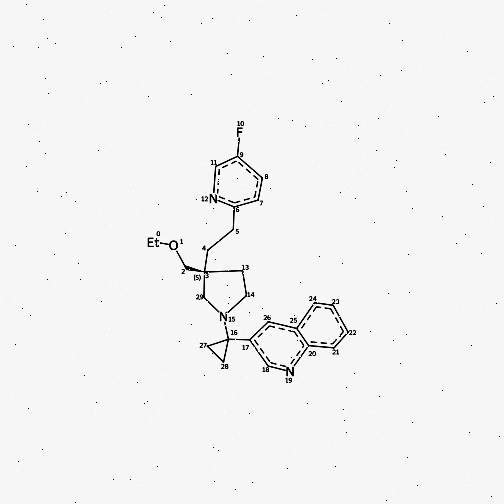 CCOC[C@@]1(CCc2ccc(F)cn2)CCN(C2(c3cnc4ccccc4c3)CC2)C1